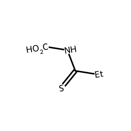 CCC(=S)NC(=O)O